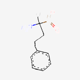 CC(N)(CCc1ccccc1)[SH](=O)=O